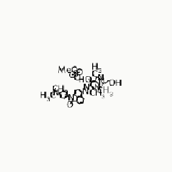 COS(=O)(=O)[O-].Cc1nn(CCO)c2c1c(O)c(N=Nc1ccc3c4c(cccc14)C(=O)N3c1ccc(N(C)C)cc1)c(C)[n+]2C